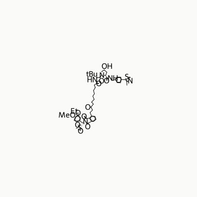 CCOc1cc([C@@H](CS(C)(=O)=O)N2C(=O)c3cccc(CCC(=O)CCCCCCCCC(=O)N[C@H](C(=O)N4C[C@H](O)C[C@H]4C(=O)NCc4ccc(-c5scnc5C)cc4)C(C)(C)C)c3C2=O)ccc1OC